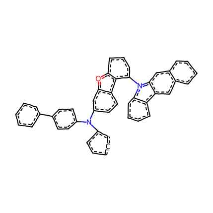 c1ccc(-c2ccc(N(c3ccccc3)c3ccc4c(c3)oc3cccc(-n5c6ccccc6c6cc7ccccc7cc65)c34)cc2)cc1